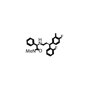 CNC(=O)[C@H](NCC[C@@H](c1ccc(F)c(C)c1)c1ccccc1F)c1ccccc1